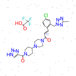 Cc1nnn(Cc2cc(Cl)ccc2/C=C/C(=O)N2CCN(C3CCN(C(=O)c4c[nH]nn4)CC3)CC2)n1.O=C(O)C(F)(F)F